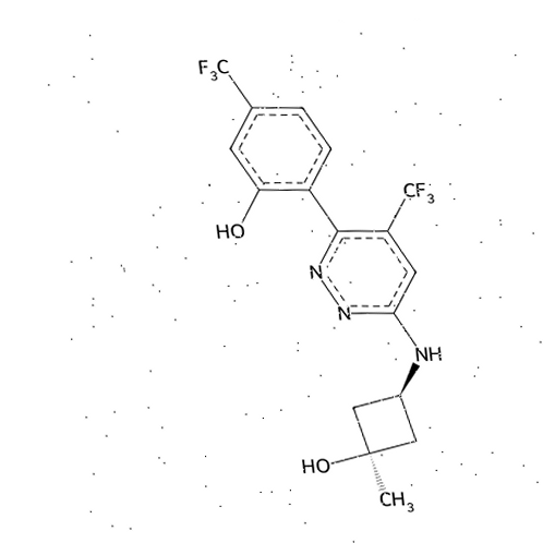 C[C@]1(O)C[C@@H](Nc2cc(C(F)(F)F)c(-c3ccc(C(F)(F)F)cc3O)nn2)C1